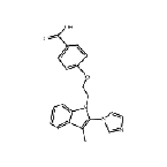 Cc1c(-n2ccnc2)n(CCOc2ccc(C(=O)O)cc2)c2ccccc12